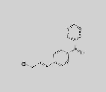 O=C(c1ccccc1)c1ccc(C=CCCl)cc1